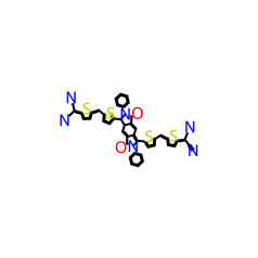 N#CC(C#N)=c1cc/c(=C\c2ccc(C3=C4C=C5C(=O)N(c6ccccc6)C(c6ccc(/C=c7\ccc(=C(C#N)C#N)s7)s6)C5C=C4C(=O)N3c3ccccc3)s2)s1